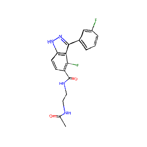 CC(=O)NCCNC(=O)c1ccc2[nH]nc(-c3cccc(F)c3)c2c1F